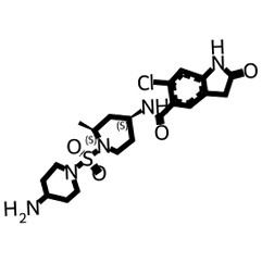 C[C@H]1C[C@@H](NC(=O)c2cc3c(cc2Cl)NC(=O)C3)CCN1S(=O)(=O)N1CCC(N)CC1